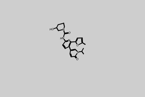 Cc1ccc(-c2nc(NC(=O)N3CCCC(O)C3)ccc2-c2ccc(=O)n(C(C)C)c2)o1